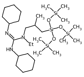 CCN(CC(C)C[Si](O[Si](C)(C)C)(O[Si](C)(C)C)O[Si](C)(C)C)/C(=N\C1CCCCC1)NC1CCCCC1